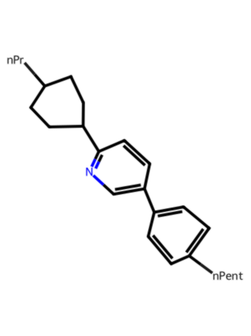 CCCCCc1ccc(-c2ccc(C3CCC(CCC)CC3)nc2)cc1